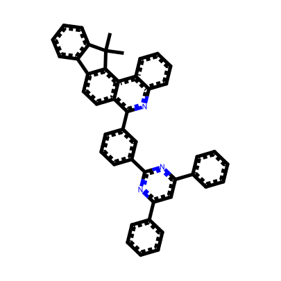 CC1(C)c2ccccc2-c2ccc3c(-c4cccc(-c5nc(-c6ccccc6)cc(-c6ccccc6)n5)c4)nc4ccccc4c3c21